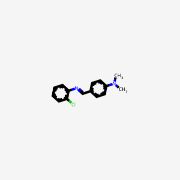 CN(C)c1ccc(C=Nc2ccccc2Cl)cc1